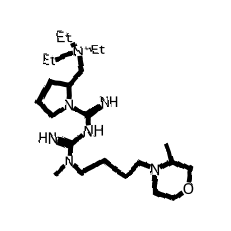 CC[N+](CC)(CC)CC1CCCN1C(=N)NC(=N)N(C)CCCCN1CCOCC1C